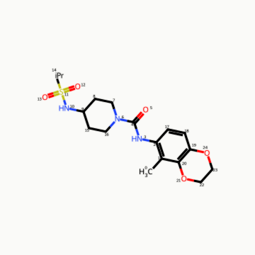 Cc1c(NC(=O)N2CCC(NS(=O)(=O)C(C)C)CC2)ccc2c1OCCO2